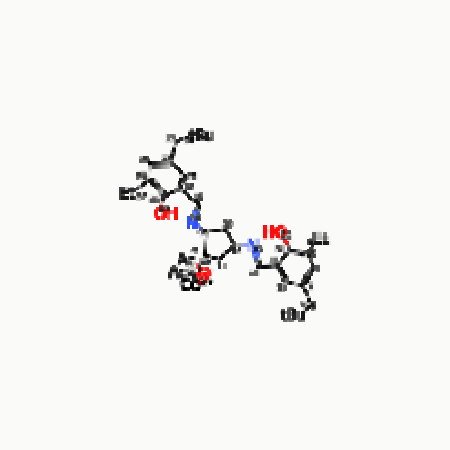 CC(=O)[O-].CC(=O)[O-].CCc1cc(CC(C)(C)C)cc(C=NC2CCC(N=Cc3cc(CC(C)(C)C)cc(CC)c3O)C2)c1O.[Co+2]